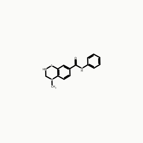 CN1CNSc2cc(C(=O)Nc3ccccc3)ccc21